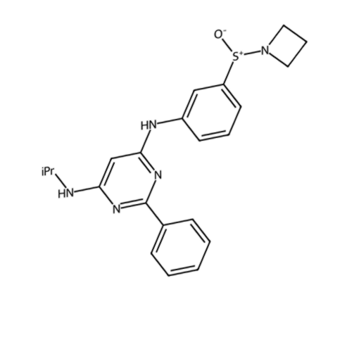 CC(C)Nc1cc(Nc2cccc([S+]([O-])N3CCC3)c2)nc(-c2ccccc2)n1